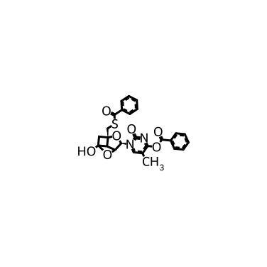 Cc1cn([C@@H]2O[C@@]3(CSC(=O)c4ccccc4)CC4(O)OC2C43)c(=O)nc1OC(=O)c1ccccc1